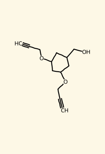 C#CCOC1CC(CO)CC(OCC#C)C1